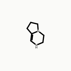 C1=C2CCCN2CCN1